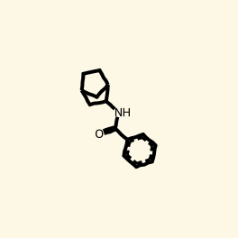 O=C(NC1CC2CCC1C2)c1ccccc1